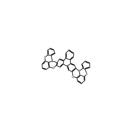 c1ccc2c(c1)Sc1cccc3c1B2c1cc2c4ccccc4c4cc5c(cc4c2cc1O3)Oc1cccc2c1B5c1ccccc1S2